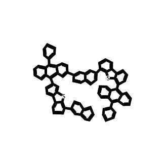 c1ccc(-c2c3ccccc3c(-c3ccc4c(c3)sc3c(-c5ccc6ccccc6c5)cccc34)c3cc(-c4ccc5ccc(-c6cccc7c6sc6c(-c8c9ccccc9c(-c9ccccc9)c9ccccc89)cccc67)cc5c4)ccc23)cc1